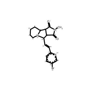 CN1C(=O)C2C(C1=O)C1CCCCN1C2C=Cc1ccc(Br)cn1